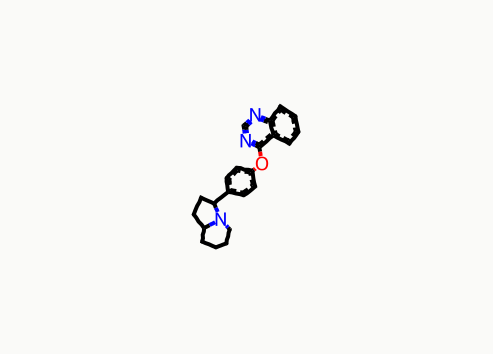 c1ccc2c(Oc3ccc(C4CCC5CCCCN54)cc3)ncnc2c1